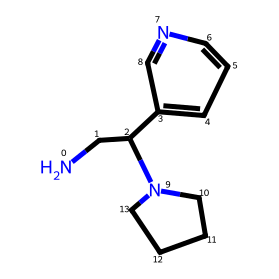 NCC(c1cccnc1)N1CCCC1